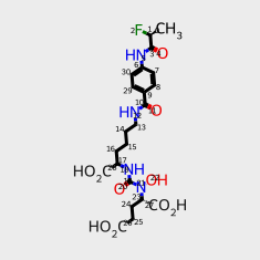 C[C@H](F)C(=O)Nc1ccc(C(=O)NCCCCC(NC(=O)N(O)[C@@H](CCC(=O)O)C(=O)O)C(=O)O)cc1